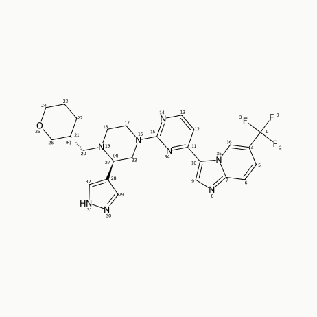 FC(F)(F)c1ccc2ncc(-c3ccnc(N4CCN(C[C@H]5CCCOC5)[C@H](c5cn[nH]c5)C4)n3)n2c1